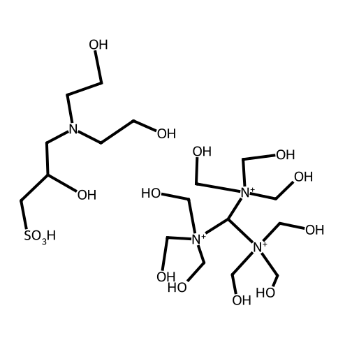 O=S(=O)(O)CC(O)CN(CCO)CCO.OC[N+](CO)(CO)C([N+](CO)(CO)CO)[N+](CO)(CO)CO